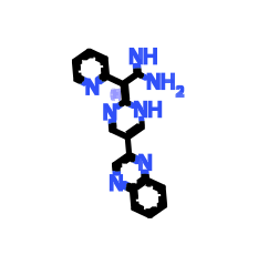 N=C(N)/C(=C1/N=CC(c2cnc3ccccc3n2)=CN1)c1ccccn1